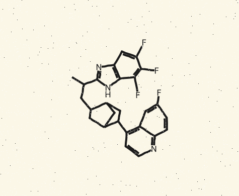 CC(CC1CC2CC1CC2c1ccnc2ccc(F)cc12)c1nc2cc(F)c(F)c(F)c2[nH]1